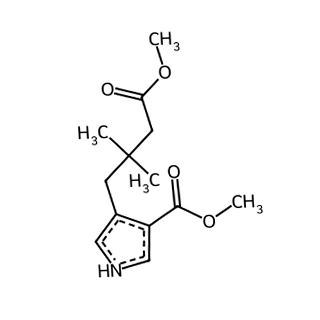 COC(=O)CC(C)(C)Cc1c[nH]cc1C(=O)OC